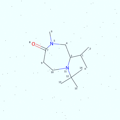 CC(C)C1CN(C)C(=O)CCN1C(C)(C)C